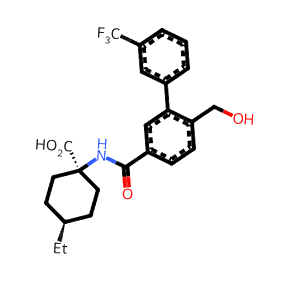 CC[C@H]1CC[C@](NC(=O)c2ccc(CO)c(-c3cccc(C(F)(F)F)c3)c2)(C(=O)O)CC1